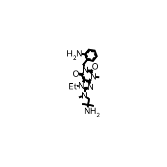 CCn1c(N(C)CC(C)(C)N)nc2c1c(=O)n(Cc1ccccc1N)c(=O)n2C